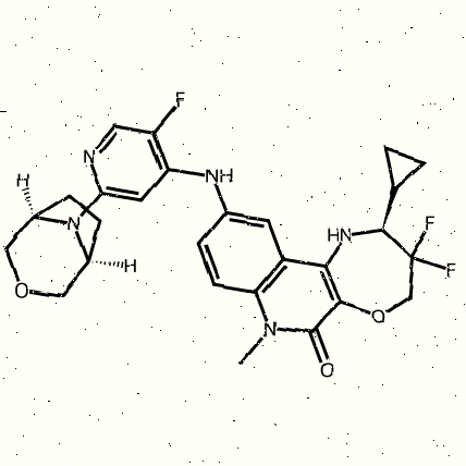 Cn1c(=O)c2c(c3cc(Nc4cc(N5[C@@H]6CC[C@H]5COC6)ncc4F)ccc31)N[C@@H](C1CC1)C(F)(F)CO2